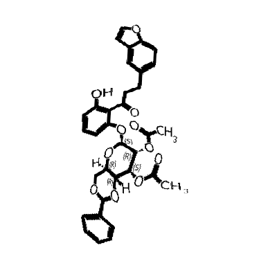 CC(=O)O[C@@H]1[C@@H](OC(C)=O)[C@H](Oc2cccc(O)c2C(=O)CCc2ccc3occc3c2)O[C@@H]2COC(c3ccccc3)O[C@@H]12